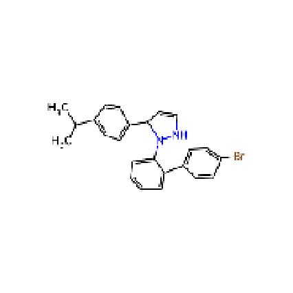 CC(C)c1ccc(C2C=CNN2c2ccccc2-c2ccc(Br)cc2)cc1